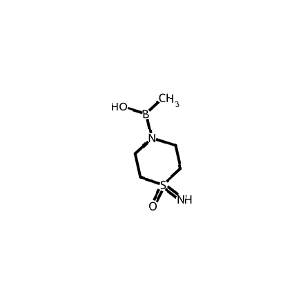 CB(O)N1CCS(=N)(=O)CC1